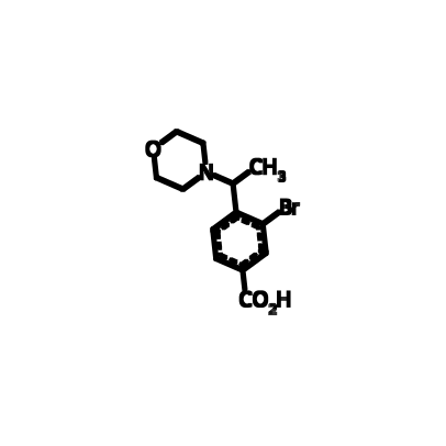 CC(c1ccc(C(=O)O)cc1Br)N1CCOCC1